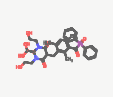 Cc1cc(C)c(C(=O)P(=O)(c2ccccc2)c2ccccc2)c(C)c1CC(C(=O)N(CCO)CCO)C(=O)N(CCO)CCO